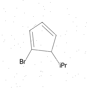 CC(C)C1C=CC=C1Br